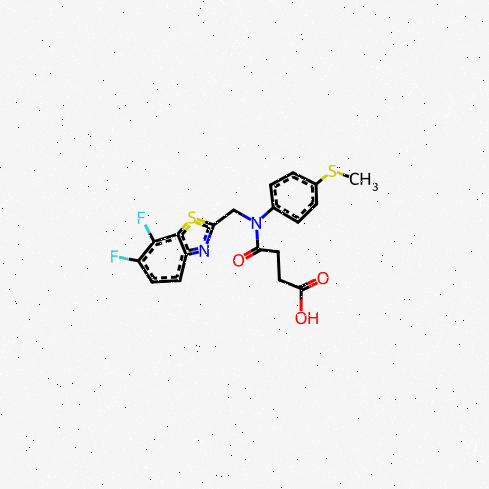 CSc1ccc(N(Cc2nc3ccc(F)c(F)c3s2)C(=O)CCC(=O)O)cc1